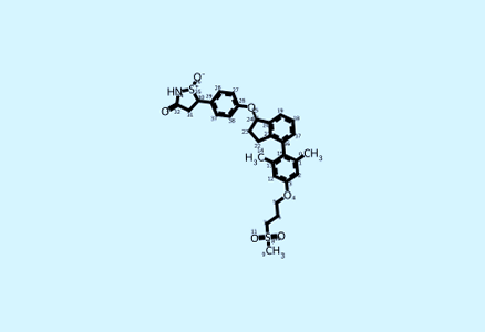 Cc1cc(OCCCS(C)(=O)=O)cc(C)c1-c1cccc2c1CC[C@H]2Oc1ccc(C2CC(=O)N[S+]2[O-])cc1